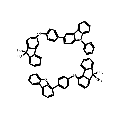 CC1(C)c2ccccc2-c2c(Nc3ccc(-c4cccc5c4oc4ccccc45)cc3)cccc21.CC1(C)c2ccccc2-c2cc(Nc3ccc(-c4ccc5c(c4)c4ccccc4n5-c4ccccc4)cc3)ccc21